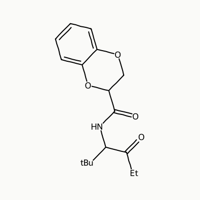 CCC(=O)C(NC(=O)C1COc2ccccc2O1)C(C)(C)C